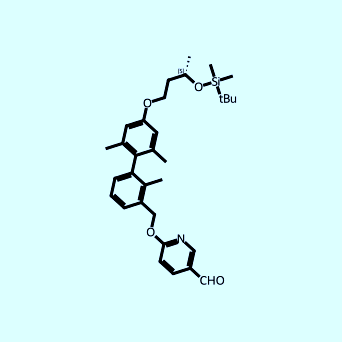 Cc1cc(OCC[C@H](C)O[Si](C)(C)C(C)(C)C)cc(C)c1-c1cccc(COc2ccc(C=O)cn2)c1C